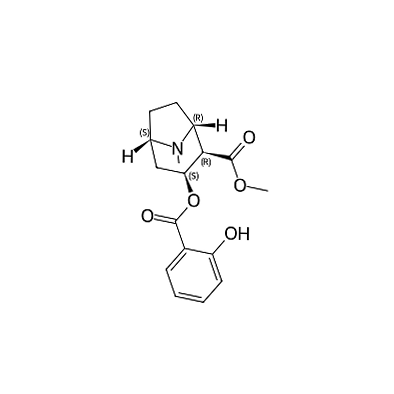 COC(=O)[C@H]1[C@@H](OC(=O)c2ccccc2O)C[C@@H]2CC[C@H]1N2C